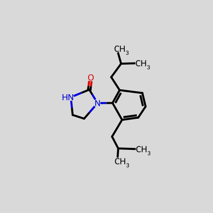 CC(C)Cc1cccc(CC(C)C)c1N1CCNC1=O